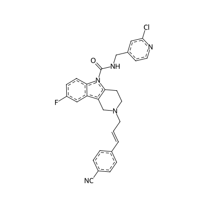 N#Cc1ccc(C=CCN2CCc3c(c4cc(F)ccc4n3C(=O)NCc3ccnc(Cl)c3)C2)cc1